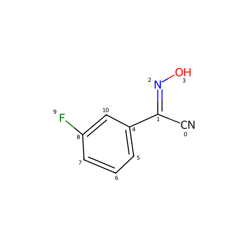 N#C/C(=N\O)c1cccc(F)c1